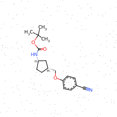 CC(C)(C)OC(=O)N[C@H]1CC[C@@H](COc2ccc(C#N)cc2)C1